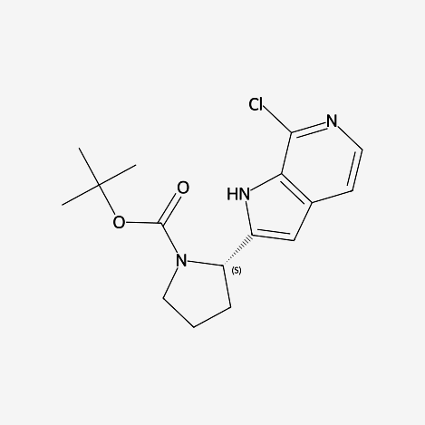 CC(C)(C)OC(=O)N1CCC[C@H]1c1cc2ccnc(Cl)c2[nH]1